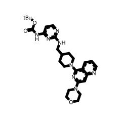 CC(C)(C)OC(=O)Nc1ccnc(NCC2CCN(c3nc(N4CCOCC4)cc4ncccc34)CC2)n1